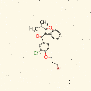 CC(C)c1oc2ccccc2c1C(=O)c1ccc(OCCCBr)c(Cl)c1